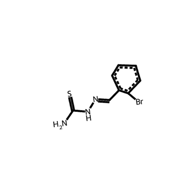 NC(=S)NN=Cc1ccccc1Br